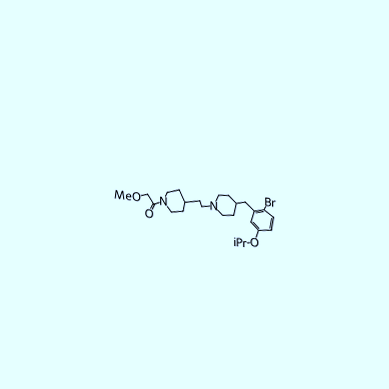 COCC(=O)N1CCC(CCN2CCC(Cc3cc(OC(C)C)ccc3Br)CC2)CC1